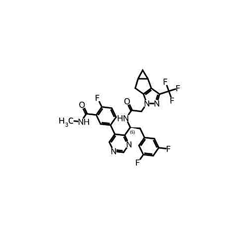 CNC(=O)c1cc(-c2cncnc2[C@H](Cc2cc(F)cc(F)c2)NC(=O)Cn2nc(C(F)(F)F)c3c2CC2CC32)ccc1F